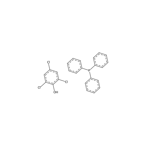 Oc1c(Cl)cc(Cl)cc1Cl.c1ccc(P(c2ccccc2)c2ccccc2)cc1